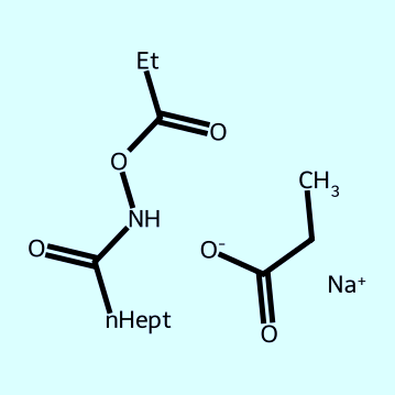 CCC(=O)[O-].CCCCCCCC(=O)NOC(=O)CC.[Na+]